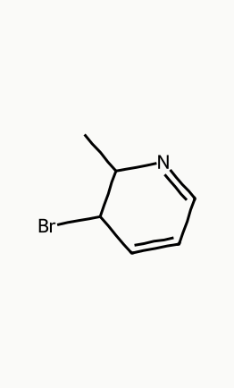 CC1N=CC=CC1Br